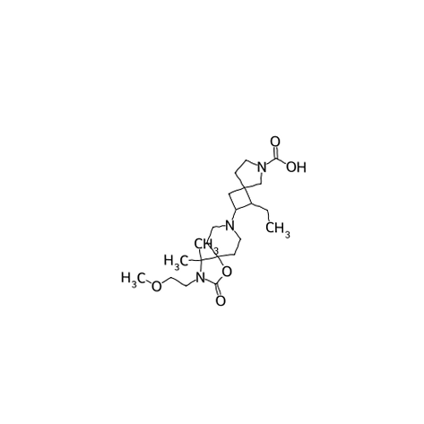 CCC1C(N2CCC3(CC2)OC(=O)N(CCOC)C3(C)C)CC12CCN(C(=O)O)C2